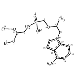 CCOC(CNP(=O)(O)COC(C)Cn1cnc2c(N)ncnc21)OCC